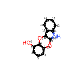 Oc1cccc2c1Oc1c([nH]c3ccccc13)O2